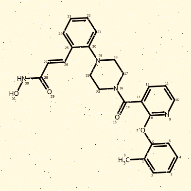 Cc1ccccc1Oc1ncccc1C(=O)N1CCN(c2ccccc2/C=C/C(=O)NO)CC1